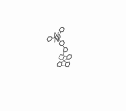 C1=C(c2cccc(-c3ccc(-c4cc(-c5ccccc5)nc(-c5ccccc5)n4)cc3)c2)C2=C(CC1)C1(c3ccccc32)c2ccccc2-c2ccccc21